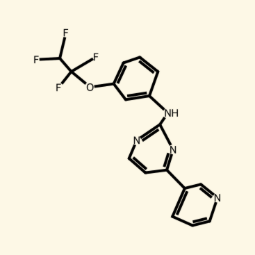 FC(F)C(F)(F)Oc1cccc(Nc2nccc(-c3cccnc3)n2)c1